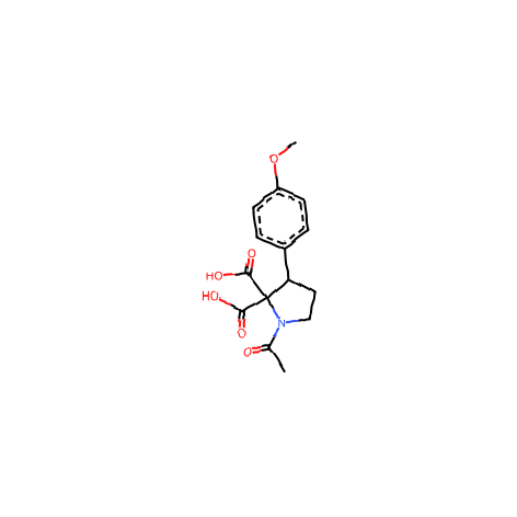 COc1ccc(C2CCN(C(C)=O)C2(C(=O)O)C(=O)O)cc1